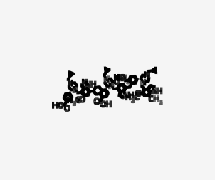 COc1cc(C)c2[nH]ccc2c1CN1CCN(CC2CC2)C[C@H]1c1ccc(CO)c(Cc2cc(OC)c(CN3CCN(CC4CC4)C[C@H]3c3ccc(C(=O)O)c4c3CCC(c3cc(OC)c(CN5CCN(CC6CC6)C[C@H]5c5ccc(C(=O)O)cc5)c5cn[nH]c35)C4)c3cc[nH]c23)c1